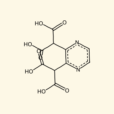 O=C(O)C(C(=O)O)c1nccnc1C(C(=O)O)C(=O)O